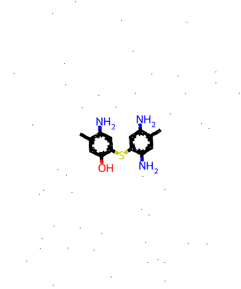 Cc1cc(N)c(Sc2cc(N)c(C)cc2O)cc1N